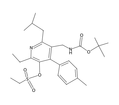 CCc1nc(CC(C)C)c(CNC(=O)OC(C)(C)C)c(-c2ccc(C)cc2)c1OS(=O)(=O)CC